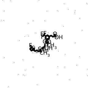 CN(C[C@H](O)CNC(C)(C)CCCc1ccc(F)s1)S(=O)(=O)c1cc(CCC(=O)O)cc(C(F)(F)F)c1